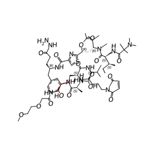 CC[C@H](C)[C@H](NC(=O)C(C)(C)N(C)C)C(=O)N(C)[C@H](C[C@@H](OC(C)=O)c1nc(C(=O)N[C@H](CCC(=O)NN)Cc2ccc(O)c(NC(=O)[C@H](C)NC(O)[C@@H](NC(=O)[C@H](CCCCNC(=O)COCCOC)NC(=O)CCCN3C(=O)C=CC3=O)C(C)C)c2)cs1)C(C)C